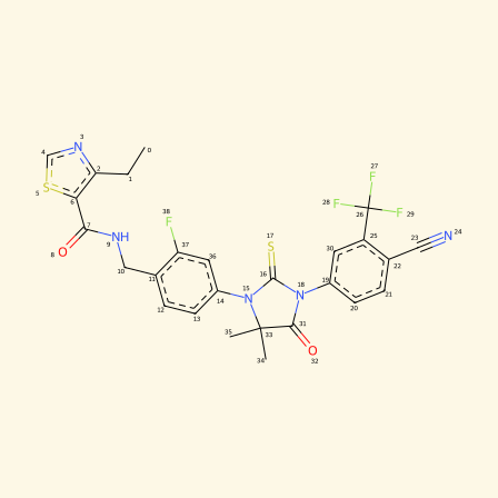 CCc1ncsc1C(=O)NCc1ccc(N2C(=S)N(c3ccc(C#N)c(C(F)(F)F)c3)C(=O)C2(C)C)cc1F